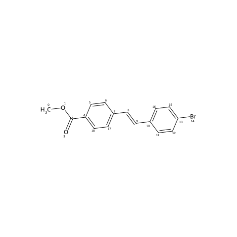 COC(=O)c1ccc(/C=C/c2ccc(Br)cc2)cc1